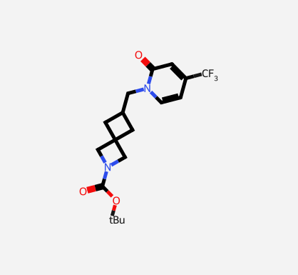 CC(C)(C)OC(=O)N1CC2(CC(Cn3ccc(C(F)(F)F)cc3=O)C2)C1